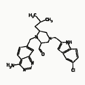 CC(C)CC1CN(Cc2cc3cc(Cl)ccc3[nH]2)CC(C=O)N1Cc1ccc2c(N)ncnc2c1